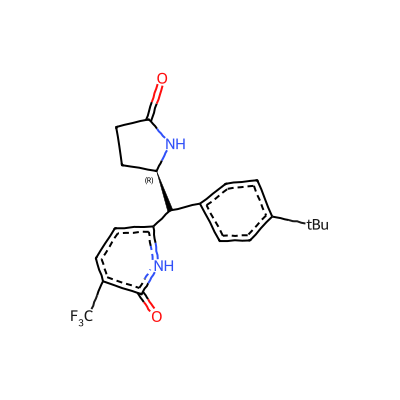 CC(C)(C)c1ccc(C(c2ccc(C(F)(F)F)c(=O)[nH]2)[C@H]2CCC(=O)N2)cc1